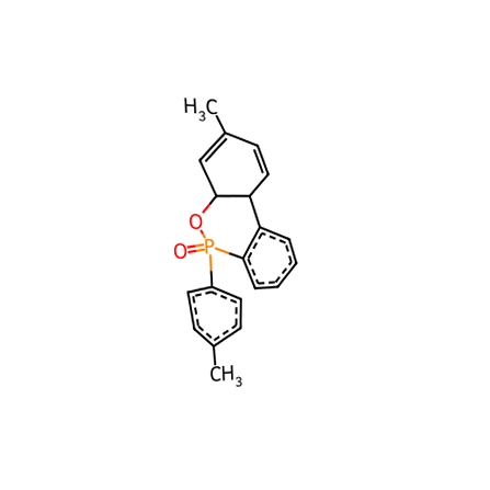 CC1=CC2OP(=O)(c3ccc(C)cc3)c3ccccc3C2C=C1